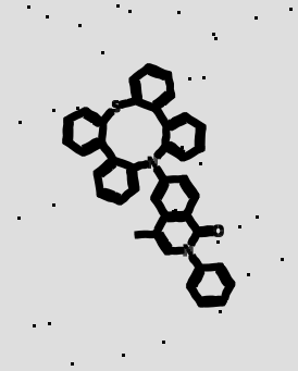 Cc1cn(-c2ccccc2)c(=O)c2ccc(N3c4ccccc4-c4ccccc4Sc4ccccc4-c4ccccc43)cc12